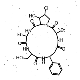 CCC1NC(=O)C2C(O)C(Cl)CN2C(=O)C(CC)NC(=O)CC(c2ccccc2)NC(=O)C(CO)NC1=O